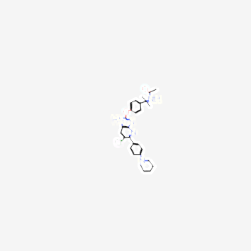 CC(=O)NC(C)(C)c1ccc(Oc2nc3nc(-c4ccc(N5CCCCC5)cc4)c(Cl)cc3[nH]2)cc1